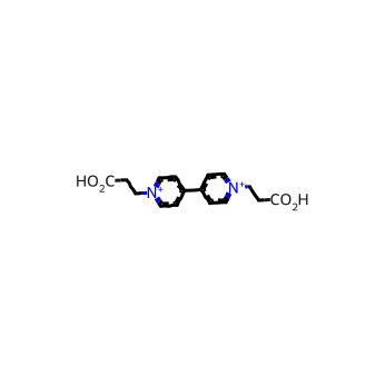 O=C(O)CC[n+]1ccc(-c2cc[n+](CCC(=O)O)cc2)cc1